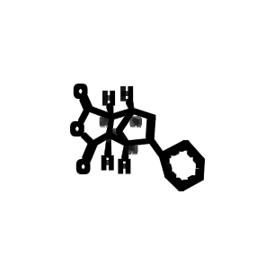 O=C1OC(=O)[C@H]2[C@@H]1[C@@H]1C[C@H]2C=C1c1ccccc1